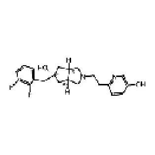 Oc1ccc(CCN2C[C@@H]3C[C@@](O)(Cc4cccc(F)c4F)C[C@@H]3C2)nc1